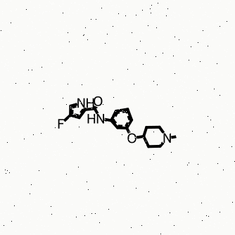 CN1CCC(Oc2cccc(NC(=O)c3cc(F)c[nH]3)c2)CC1